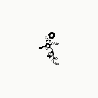 C=CC[C@@H]1O[C@H](C[C@H]2CN(C(=O)OC(C)(C)C)C(C)(C)O2)[C@H](OC)[C@H]1CS(=O)(=O)c1ccccc1